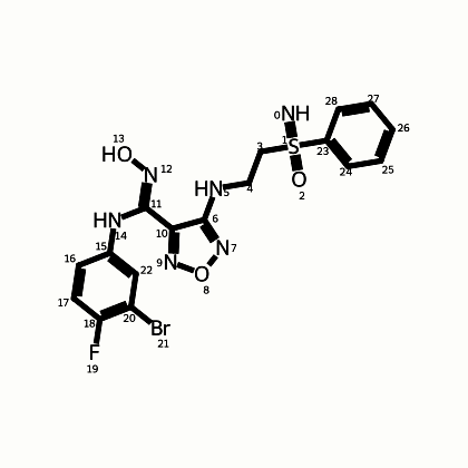 N=S(=O)(CCNc1nonc1/C(=N/O)Nc1ccc(F)c(Br)c1)c1ccccc1